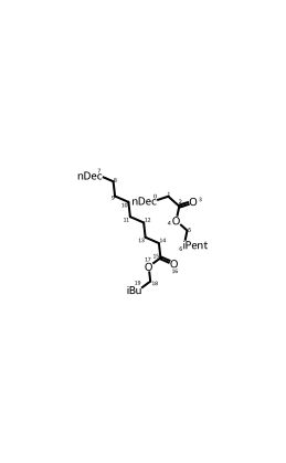 CCCCCCCCCCCC(=O)OCC(C)CCC.CCCCCCCCCCCCCCCCCC(=O)OCC(C)CC